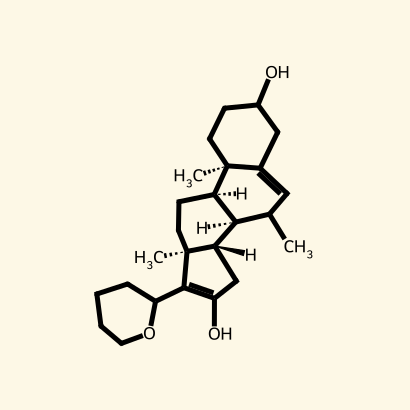 CC1C=C2CC(O)CC[C@]2(C)[C@@H]2CC[C@]3(C)C(C4CCCCO4)=C(O)C[C@H]3[C@H]12